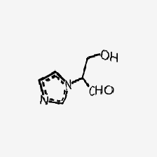 O=CC(CO)n1ccnc1